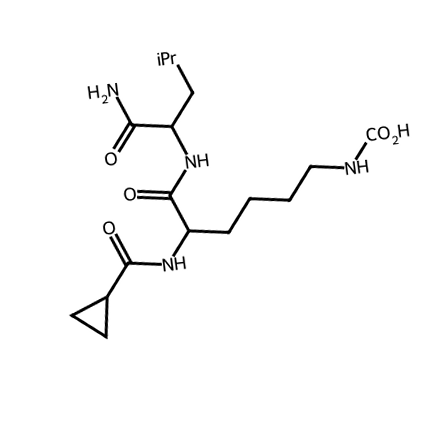 CC(C)CC(NC(=O)C(CCCCNC(=O)O)NC(=O)C1CC1)C(N)=O